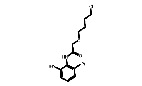 CC(C)c1cccc(C(C)C)c1NC(=O)CSCCCCCl